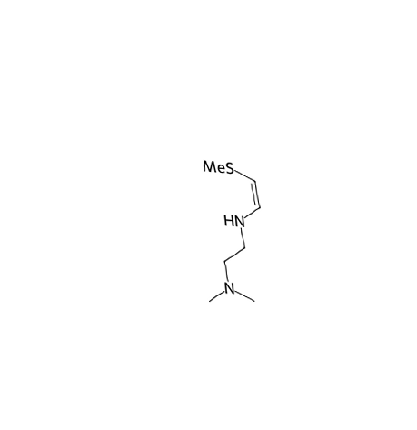 CS/C=C\NCCN(C)C